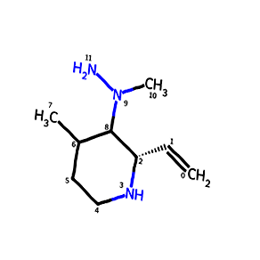 C=C[C@@H]1NCCC(C)C1N(C)N